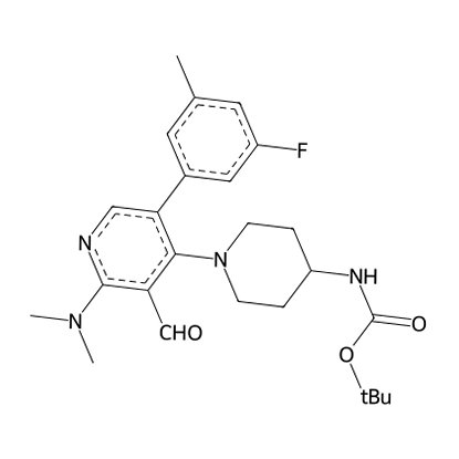 Cc1cc(F)cc(-c2cnc(N(C)C)c(C=O)c2N2CCC(NC(=O)OC(C)(C)C)CC2)c1